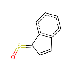 O=S=C1C=Cc2ccccc21